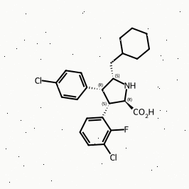 O=C(O)[C@@H]1N[C@@H](CC2CCCCC2)[C@@H](c2ccc(Cl)cc2)[C@H]1c1cccc(Cl)c1F